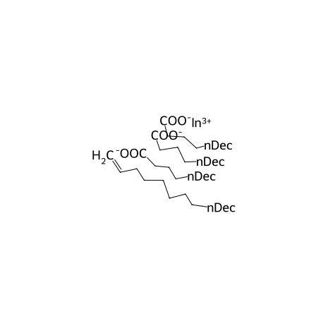 C=CCCCCCCCCCCCCCCCC.CCCCCCCCCCCCCC(=O)[O-].CCCCCCCCCCCCCC(=O)[O-].CCCCCCCCCCCCCC(=O)[O-].[In+3]